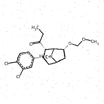 CCC(=O)[C@@H]1C2[C@H](OCOC)CC(C[C@@H]1c1ccc(Cl)c(Cl)c1)N2C